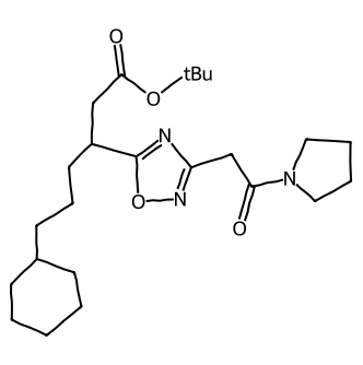 CC(C)(C)OC(=O)CC(CCCC1CCCCC1)c1nc(CC(=O)N2CCCC2)no1